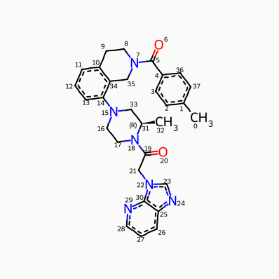 Cc1ccc(C(=O)N2CCc3cccc(N4CCN(C(=O)Cn5cnc6cccnc65)[C@H](C)C4)c3C2)cc1